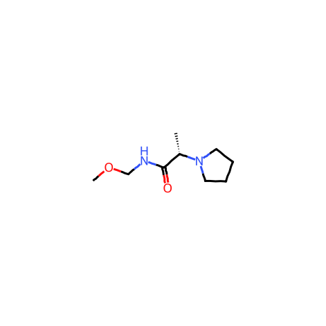 COCNC(=O)[C@H](C)N1CCCC1